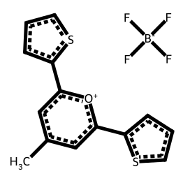 Cc1cc(-c2cccs2)[o+]c(-c2cccs2)c1.F[B-](F)(F)F